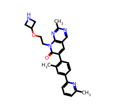 Cc1cccc(-c2ccc(-c3cc4cnc(C)nc4n(CCOC4CNC4)c3=O)c(C)c2)n1